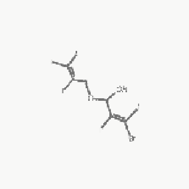 OC(OCC(I)=C(I)I)C(I)=C(Br)I